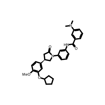 COc1ccc([C@H]2CC(=O)N(c3cccc(NC(=O)c4cccc(N(C)C)c4)c3)C2)cc1OC1CCCC1